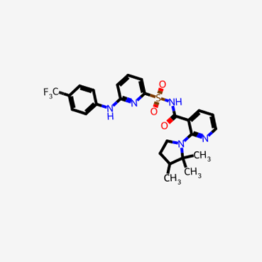 CC1CCN(c2ncccc2C(=O)NS(=O)(=O)c2cccc(Nc3ccc(C(F)(F)F)cc3)n2)C1(C)C